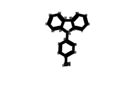 Oc1ccc(-[s+]2c3ccccc3c3ccccc32)cc1